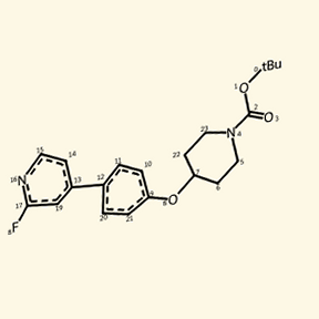 CC(C)(C)OC(=O)N1CCC(Oc2ccc(-c3ccnc(F)c3)cc2)CC1